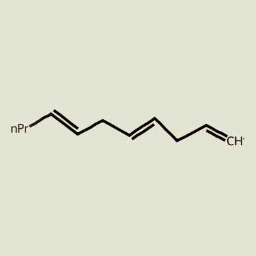 [CH]=CCC=CCC=CCCC